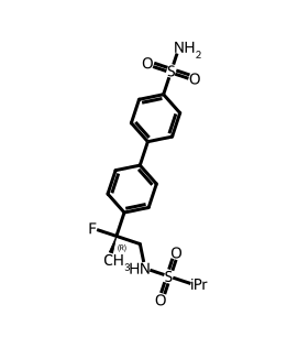 CC(C)S(=O)(=O)NC[C@](C)(F)c1ccc(-c2ccc(S(N)(=O)=O)cc2)cc1